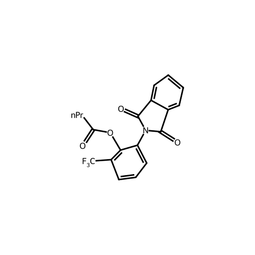 CCCC(=O)Oc1c(N2C(=O)c3ccccc3C2=O)cccc1C(F)(F)F